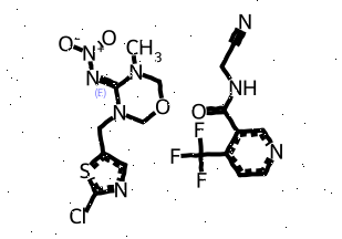 CN1COCN(Cc2cnc(Cl)s2)/C1=N/[N+](=O)[O-].N#CCNC(=O)c1cnccc1C(F)(F)F